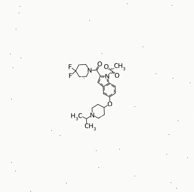 CC(C)N1CCC(Oc2ccc3c(c2)cc(C(=O)N2CCC(F)(F)CC2)n3S(C)(=O)=O)CC1